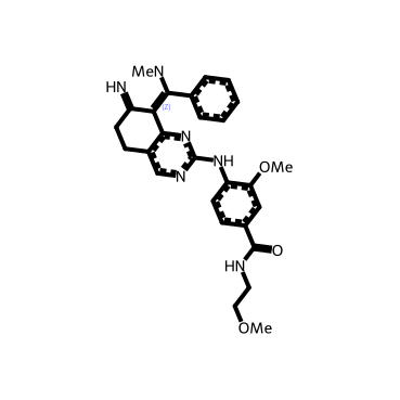 CN/C(=C1\C(=N)CCc2cnc(Nc3ccc(C(=O)NCCOC)cc3OC)nc21)c1ccccc1